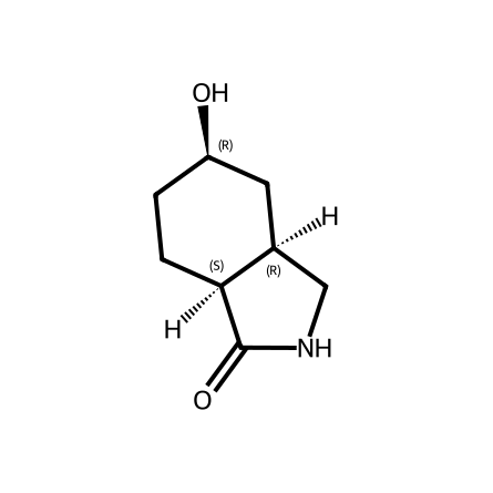 O=C1NC[C@@H]2C[C@H](O)CC[C@H]12